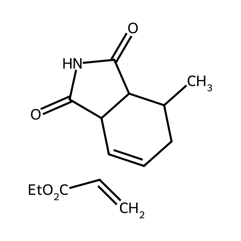 C=CC(=O)OCC.CC1CC=CC2C(=O)NC(=O)C12